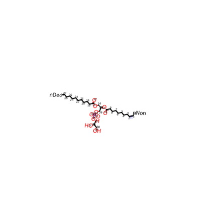 CCCCCCCCC/C=C\CCCCCCCC(=O)O[C@H](COC(=O)CCCCCCCCCCCCCCCCCCCC)COP(=O)(O)OC[C@@H](O)CO